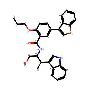 CCCOc1ccc(-c2csc3ccccc23)cc1C(=O)NC(CO)[C@H](C)c1c[nH]c2ccccc12